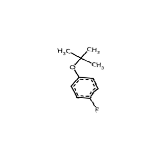 CC(C)(C)Oc1ccc(F)cc1